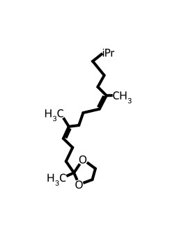 C/C(=C/CCC1(C)OCCO1)CC/C=C(/C)CCCC(C)C